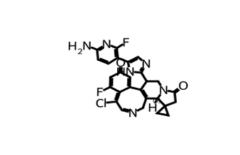 Nc1ccc(-c2cnc(C3CN4C(=O)CC5(CC5)[C@@H]4C4=C3C3=CC(=O)C=C(F)C3=C(Cl)C=NC4)[nH]2)c(F)n1